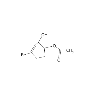 CC(=O)OC1CCC(Br)=CC1O